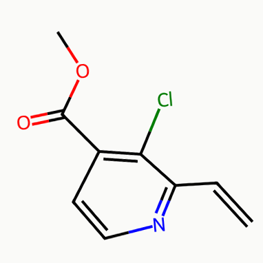 C=Cc1nccc(C(=O)OC)c1Cl